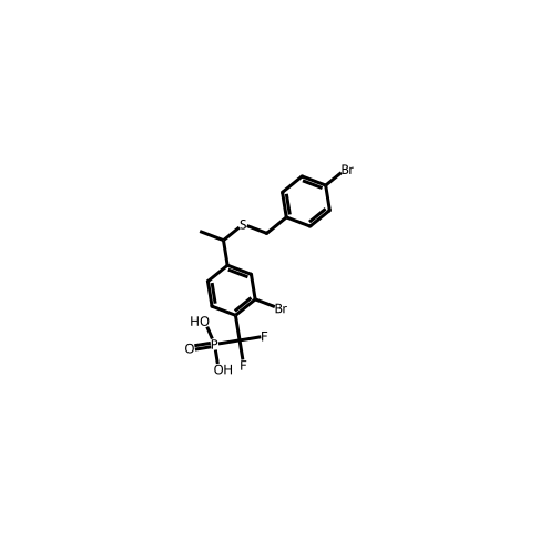 CC(SCc1ccc(Br)cc1)c1ccc(C(F)(F)P(=O)(O)O)c(Br)c1